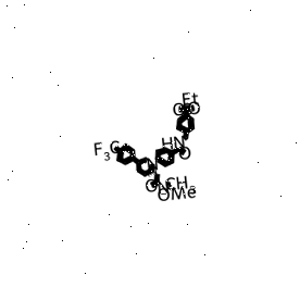 CCS(=O)(=O)c1ccc(CNC(=O)c2ccc(N3CC(c4ccc(C(F)(F)F)cc4)CC[C@H]3CC(=O)N(C)OC)cc2)cc1